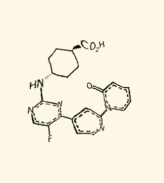 O=c1ccccn1-c1cc(-c2nc(N[C@H]3CC[C@H](C(=O)O)CC3)ncc2F)ccn1